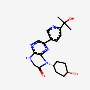 CC(C)(O)c1ccc(-c2cnc3c(n2)N([C@H]2CC[C@H](O)CC2)C(=O)CN3)cn1